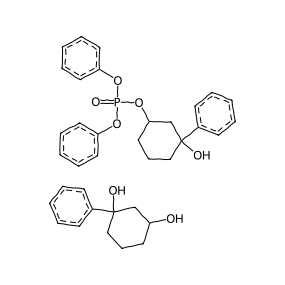 O=P(Oc1ccccc1)(Oc1ccccc1)OC1CCCC(O)(c2ccccc2)C1.OC1CCCC(O)(c2ccccc2)C1